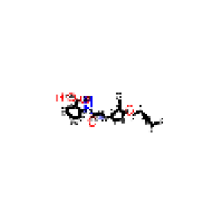 CCC#CCCOc1ccc(/C=C/C(=O)Nc2ccccc2C(=O)O)cc1C